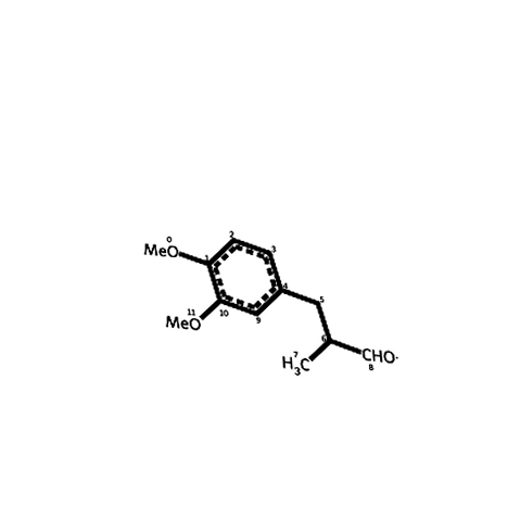 COc1ccc(CC(C)[C]=O)cc1OC